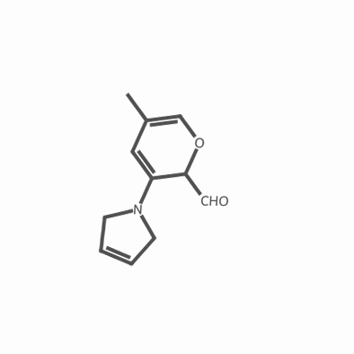 CC1=COC(C=O)C(N2CC=CC2)=C1